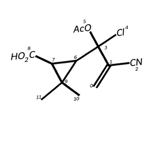 C=C(C#N)C(Cl)(OC(C)=O)C1C(C(=O)O)C1(C)C